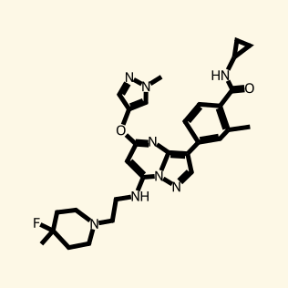 Cc1cc(-c2cnn3c(NCCN4CCC(C)(F)CC4)cc(Oc4cnn(C)c4)nc23)ccc1C(=O)NC1CC1